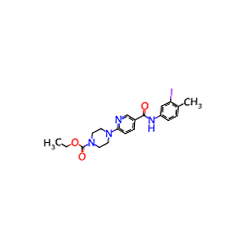 CCOC(=O)N1CCN(c2ccc(C(=O)Nc3ccc(C)c(I)c3)cn2)CC1